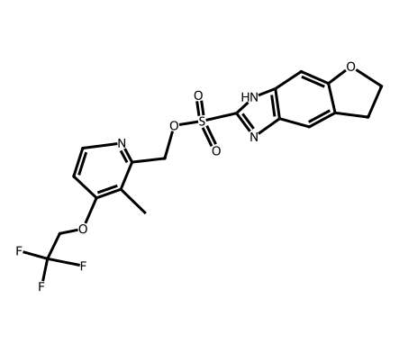 Cc1c(OCC(F)(F)F)ccnc1COS(=O)(=O)c1nc2cc3c(cc2[nH]1)OCC3